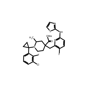 COC(=O)C1(Cc2nc(Nc3nccs3)ccc2F)CCN(C2(c3cccc(Cl)c3F)CC2)C(C)C1